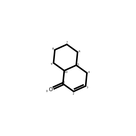 O=C1C=CCC2CCCCC12